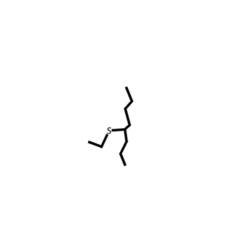 CCCCC(CCC)SCC